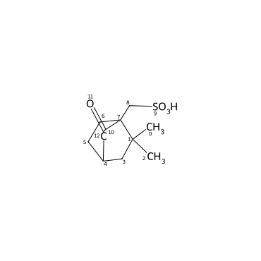 CC1(C)CC2CCC1(CS(=O)(=O)O)C(=O)C2